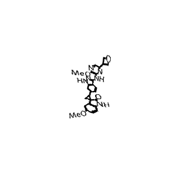 COc1ccc2c(c1)C1(CC1c1ccc3c(Nc4nc(C5COC5)cnc4OC)n[nH]c3c1)C(=O)N2